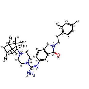 Cc1ccc(CCN2Cc3ccc(N=C(N)N4CCN([C@H]5C[C@@H]6C[C@@H]([C@H]5C)C6(C)C)CC4)cc3C2=O)c(C)c1